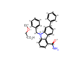 CCOCC(=O)O.NC(=O)c1cccc2c1c1ccc(-c3ccccc3)cc1n2Cc1ccccc1